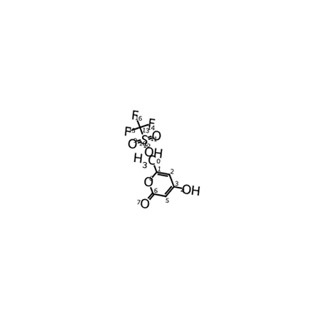 Cc1cc(O)cc(=O)o1.O=S(=O)(O)C(F)(F)F